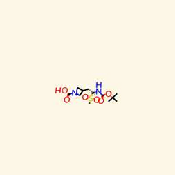 CC(C)(C)OC(=O)N[C@@H](CC1CN(C(=O)O)C1)S(C)(=O)=O